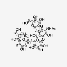 CC(=O)NC1C(O)[C@H](O[C@@H]2OC(CO[C@]3(OC=O)C[C@@H](O)[C@@H](C)C([C@H](O)C(O)CO)O3)[C@H](O)C(O)[C@@H]2O)[C@H](CO)O[C@H]1O[C@@H]1C(O)[C@H](O)C(CO)O[C@@H]1C